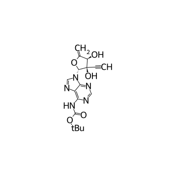 C#C[C@@]1(O)[C@H](O)C(=C)O[C@H]1n1cnc2c(NC(=O)OC(C)(C)C)ncnc21